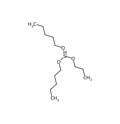 CCCCCO[SiH](OCCC)OCCCCC